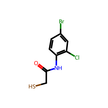 O=C(CS)Nc1ccc(Br)cc1Cl